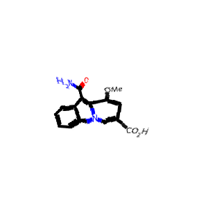 COc1cc(C(=O)O)cn2c1c(C(N)=O)c1ccccc12